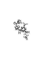 CC(C)NC(=O)c1cnc(Nc2nc(NCCN(C)C)nc(C3CC3)n2)o1